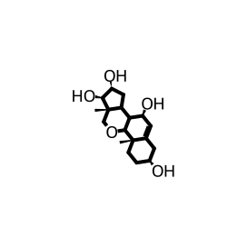 C[C@]12CC[C@H](O)CC1=C[C@H](O)C1C2OC[C@@]2(C)C1C[C@@H](O)[C@@H]2O